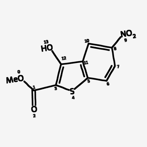 COC(=O)c1sc2ccc([N+](=O)[O-])cc2c1O